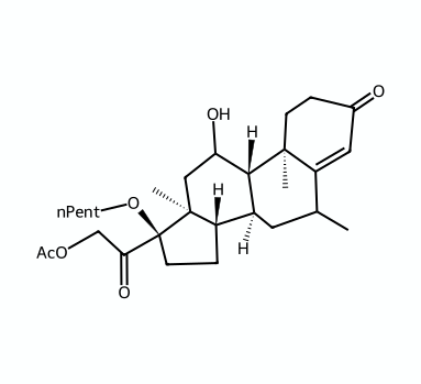 CCCCCO[C@]1(C(=O)COC(C)=O)CC[C@H]2[C@@H]3CC(C)C4=CC(=O)CC[C@]4(C)[C@H]3C(O)C[C@@]21C